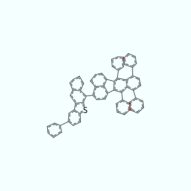 c1ccc(-c2ccc3sc4c(-c5ccc6c7c(cccc57)-c5c-6c(-c6ccccc6)c6c(-c7ccccc7)ccc(-c7ccccc7)c6c5-c5ccccc5)c5ccccc5cc4c3c2)cc1